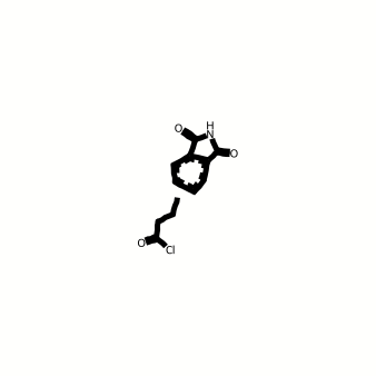 CCCC(=O)Cl.O=C1NC(=O)c2ccccc21